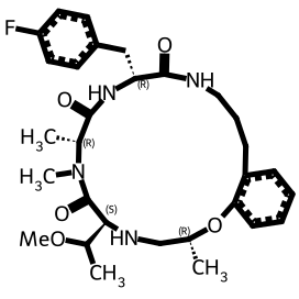 COC(C)[C@@H]1NC[C@@H](C)Oc2ccccc2CCCNC(=O)[C@@H](Cc2ccc(F)cc2)NC(=O)[C@@H](C)N(C)C1=O